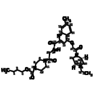 CCCCOC(=O)N1CCN(C(=O)C[AsH]C(=O)c2cc(OCC(=O)N3C[C@H]4C[C@@H]3CN4CC)c3ccc(C)cc3n2)CC1